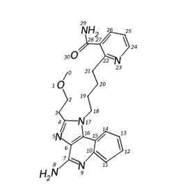 COCCc1nc2c(N)nc3ccccc3c2n1CCCCc1ncccc1C(N)=O